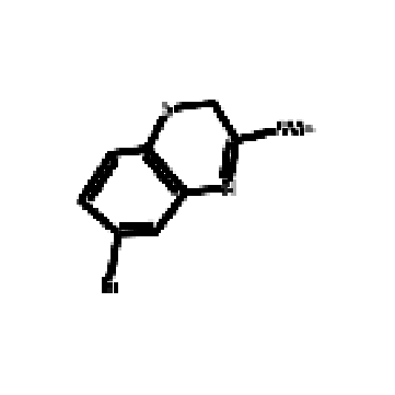 CSC1=Nc2cc(Br)ccc2SC1